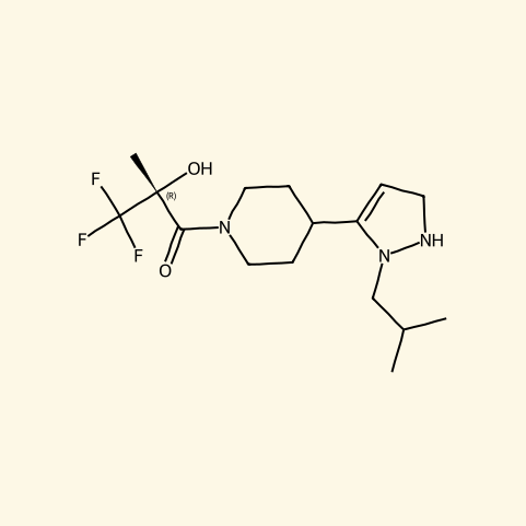 CC(C)CN1NCC=C1C1CCN(C(=O)[C@@](C)(O)C(F)(F)F)CC1